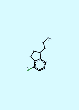 CC(=O)OCCC1CCc2c(Cl)cccc21